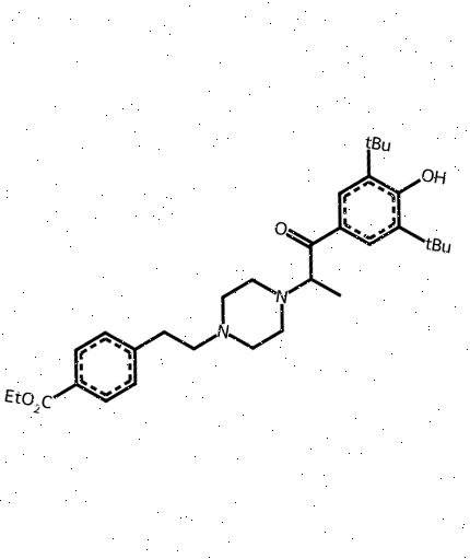 CCOC(=O)c1ccc(CCN2CCN(C(C)C(=O)c3cc(C(C)(C)C)c(O)c(C(C)(C)C)c3)CC2)cc1